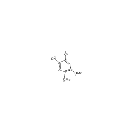 COc1cc(N=O)c(C(C)=O)cc1OC